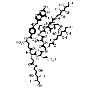 Nc1nc2ncc(CNc3ccc(C(=O)N[C@@H](CCC(=O)N[C@@H](CCC(=O)NC[C@H](O)[C@@H](O)[C@H](O)[C@H](O)CO)C(=O)N[C@@H](CCC(=O)O)C(=O)N[C@@H](CCC(=O)NC[C@H](O)[C@@H](O)[C@H](O)[C@H](O)CO)C(=O)N[C@@H](CS)C(=O)N[C@@H](CCC(=O)O)C(=O)N[C@@H](CCC(=O)NC[C@H](O)[C@@H](O)[C@H](O)[C@H](O)CO)C(=O)N[C@@H](CS)C(=O)O)C(=O)O)cc3)nc2c(=O)[nH]1